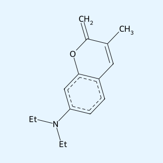 C=C1Oc2cc(N(CC)CC)ccc2C=C1C